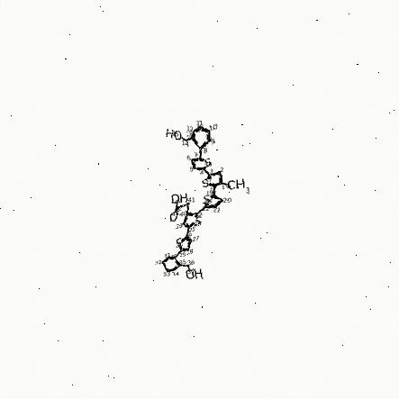 Cc1cc(-c2ccc(-c3ccccc3CO)s2)sc1-c1ccc(-c2sc(-c3ccc(-c4ccccc4CO)s3)cc2CC(=O)O)s1